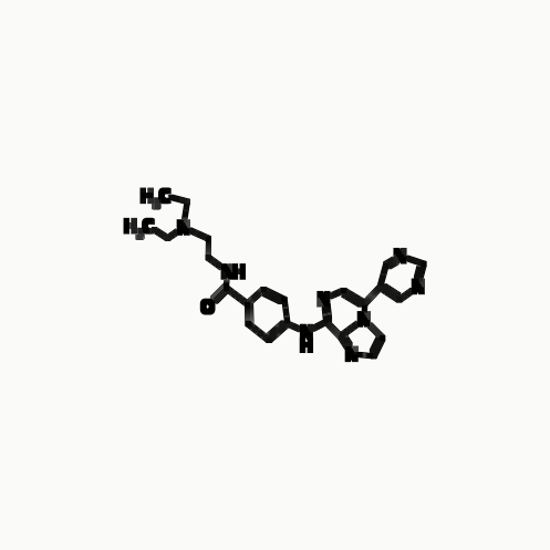 CCN(CC)CCNC(=O)c1ccc(Nc2ncc(-c3cncnc3)n3ccnc23)cc1